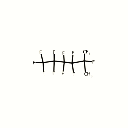 CC(F)(C(F)(F)F)C(F)(F)C(F)(F)C(F)(F)C(F)(F)I